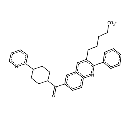 O=C(O)CCCCc1cc2cc(C(=O)N3CCN(c4ccccn4)CC3)ccc2nc1-c1ccccc1